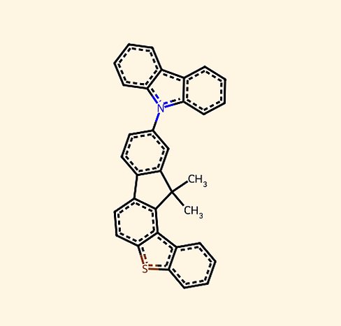 CC1(C)c2cc(-n3c4ccccc4c4ccccc43)ccc2-c2ccc3sc4ccccc4c3c21